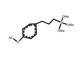 CO[Si](CCCc1ccc(OC#N)cc1)(OC)OC